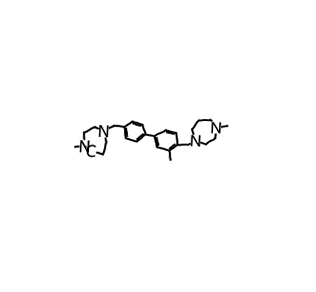 Cc1cc(-c2ccc(CN3CCCN(C)CC3)cc2)ccc1CN1CCCN(C)CC1